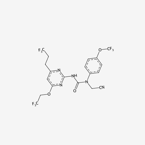 N#CCN(C(=O)Nc1nc(CCC(F)(F)F)cc(OCC(F)(F)F)n1)c1ccc(OC(F)(F)F)cc1